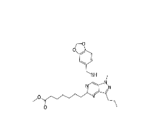 CCCc1nn(C)c2c(NCc3ccc4c(c3)OCO4)nc(CCCCCCC(=O)OC)nc12